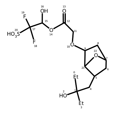 CCC(O)(CC)CC1CC2CC(OCC(=O)OC(O)C(F)(F)S(=O)(=O)O)C1O2